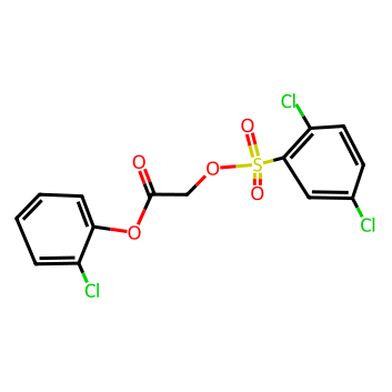 O=C(COS(=O)(=O)c1cc(Cl)ccc1Cl)Oc1ccccc1Cl